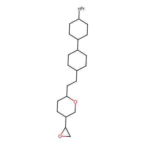 CCCC1CCC(C2CCC(CCC3CCC(C4CO4)CO3)CC2)CC1